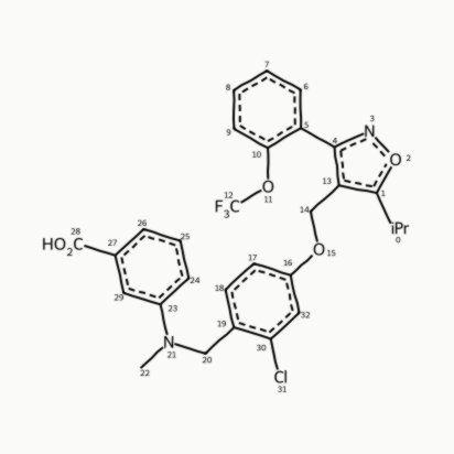 CC(C)c1onc(-c2ccccc2OC(F)(F)F)c1COc1ccc(CN(C)c2cccc(C(=O)O)c2)c(Cl)c1